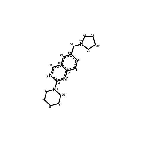 c1cc2nc(N3CCCCC3)ncc2cc1CN1CCCC1